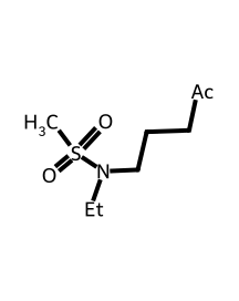 CCN(CCCC(C)=O)S(C)(=O)=O